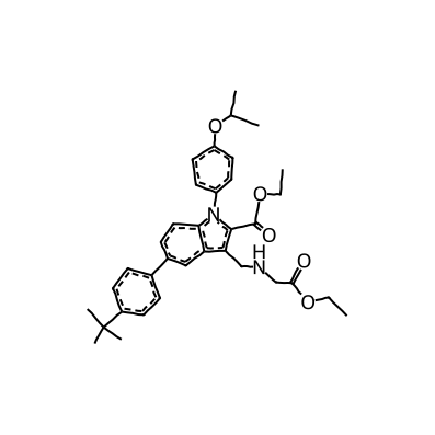 CCOC(=O)CNCc1c(C(=O)OCC)n(-c2ccc(OC(C)C)cc2)c2ccc(-c3ccc(C(C)(C)C)cc3)cc12